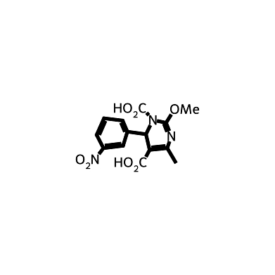 COC1=NC(C)=C(C(=O)O)C(c2cccc([N+](=O)[O-])c2)N1C(=O)O